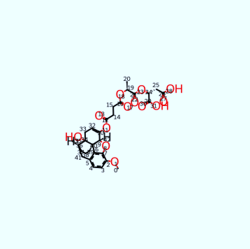 COc1ccc2c3c1O[C@H]1C(OC(=O)CCC(=O)O[C@@H](C)C(=O)O[C@H](CC(=O)O)C(=O)O)=CC[C@@]4(O)[C@H](CCC[C@]314)C2